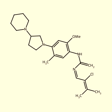 C=C(/N=C\C(Cl)=C(C)C)Nc1cc(C)c(N2CCC(N3CCCCC3)C2)cc1OC